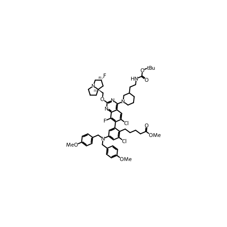 COC(=O)CCCCc1c(Cl)cc(N(Cc2ccc(OC)cc2)Cc2ccc(OC)cc2)cc1-c1c(Cl)cc2c(N3CCCC(CCNC(=O)OC(C)(C)C)C3)nc(OC[C@@]34CCCN3C[C@H](F)C4)nc2c1F